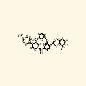 COc1cccc(Oc2nc(Nc3ccc(N4CCN(C(C)C)CC4)cc3)ncc2C(=O)Nc2c(C)cccc2C)c1